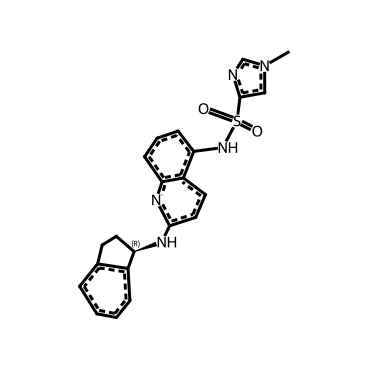 Cn1cnc(S(=O)(=O)Nc2cccc3nc(N[C@@H]4CCc5ccccc54)ccc23)c1